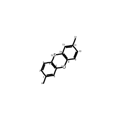 Cc1ccc2c(c1)Oc1ccc(C)cc1S2